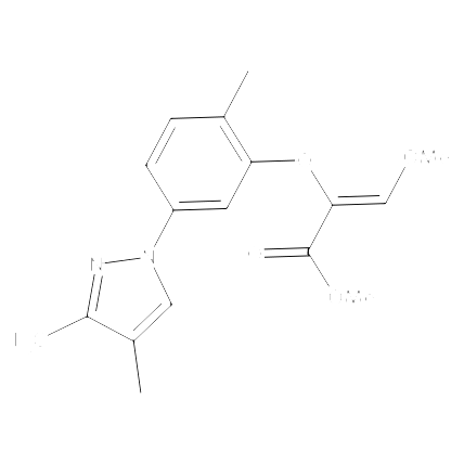 CO/C=C(\Oc1cc(-n2cc(C)c(C(F)(F)F)n2)ccc1C)C(=O)OC